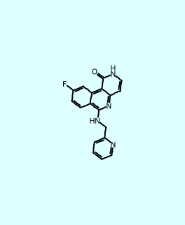 O=c1[nH]ccc2nc(NCc3ccccn3)c3ccc(F)cc3c12